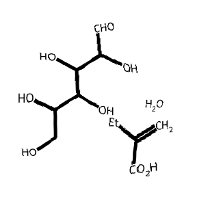 C=C(CC)C(=O)O.O.O=CC(O)C(O)C(O)C(O)CO